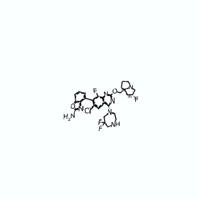 Nc1nc2c(-c3c(Cl)cc4c(N5CCNCC(F)(F)C5)nc(OC[C@@]56CCCN5C[C@H](F)C6)nc4c3F)cccc2o1